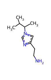 CC(C)C(C)n1cnc(CCN)c1